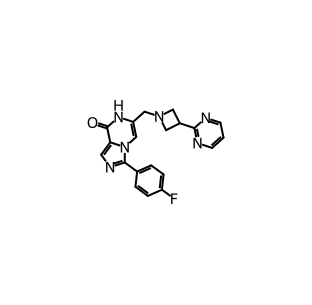 O=c1[nH]c(CN2CC(c3ncccn3)C2)cn2c(-c3ccc(F)cc3)ncc12